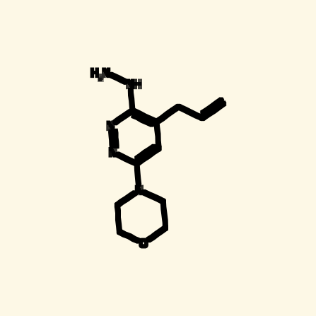 C=CCc1cc(N2CCOCC2)nnc1NN